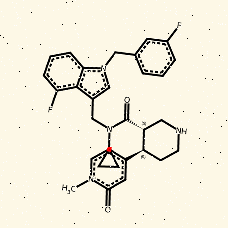 Cn1ccc([C@@H]2CCNC[C@H]2C(=O)N(Cc2cn(Cc3cccc(F)c3)c3cccc(F)c23)C2CC2)cc1=O